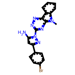 Cn1c2ccccc2c2nnc(-n3nc(-c4ccc(Br)cc4)cc3N)nc21